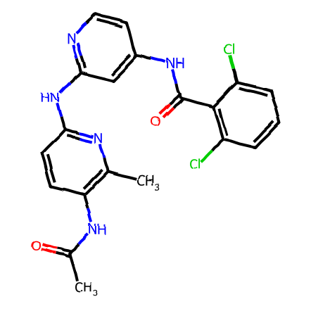 CC(=O)Nc1ccc(Nc2cc(NC(=O)c3c(Cl)cccc3Cl)ccn2)nc1C